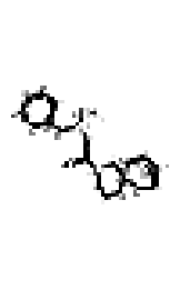 CN(CC(=O)N1CCCC2(CC3CCC2CC3)C1)Cc1ccccc1